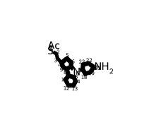 CC(=O)SCCc1ccc2c(c1)c1ccccc1n2-c1ccc(N)cc1